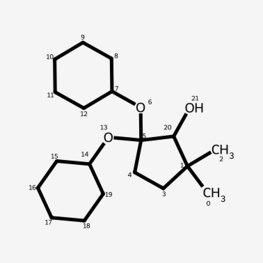 CC1(C)CCC(OC2CCCCC2)(OC2CCCCC2)C1O